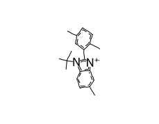 Cc1ccc(C)c(-c2n(C(C)(C)C)c3ccc(C)cc3[n+]2C)c1